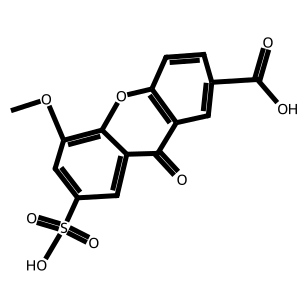 COc1cc(S(=O)(=O)O)cc2c(=O)c3cc(C(=O)O)ccc3oc12